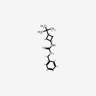 CC(C)(C)C1[CH]C(NC(=O)OCc2ccccc2)C1